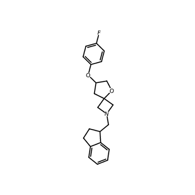 Fc1ccc(OC2COC3(C2)CN(CC2CCc4ccccc42)C3)cc1